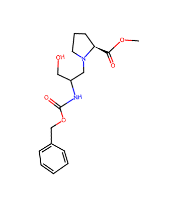 COC(=O)[C@@H]1CCCN1CC(CO)NC(=O)OCc1ccccc1